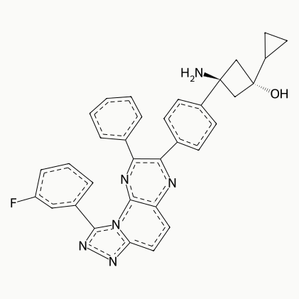 N[C@]1(c2ccc(-c3nc4ccc5nnc(-c6cccc(F)c6)n5c4nc3-c3ccccc3)cc2)C[C@](O)(C2CC2)C1